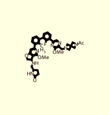 COc1nc(-c2cccc(-c3cccc(-c4cc5c(c(OC)n4)C(NCC4CCC(=O)N4)CO5)c3C)c2F)cnc1CN1CC2(C1)CN(C(C)=O)C2